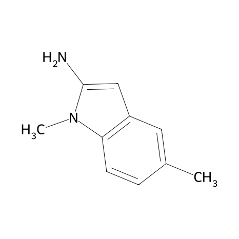 Cc1ccc2c(c1)cc(N)n2C